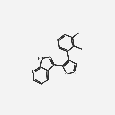 Fc1cccc(-c2cnoc2-c2n[nH]c3ncccc23)c1F